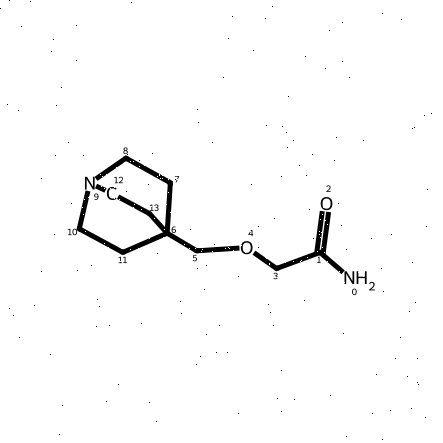 NC(=O)COCC12CCN(CC1)CC2